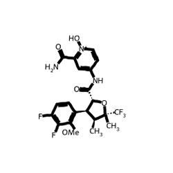 COc1c([C@H]2[C@H](C(=O)Nc3cc[n+](O)c(C(N)=O)c3)O[C@](C)(C(F)(F)F)[C@H]2C)ccc(F)c1F